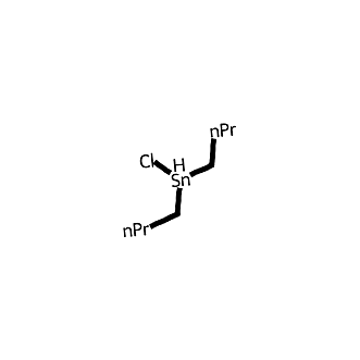 CCC[CH2][SnH]([Cl])[CH2]CCC